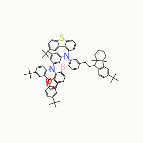 Cc1cc2c3c(c1)N(c1cccc4sc5ccc(C(C)(C)C)cc5c14)c1cc(CCC4c5ccc(C(C)(C)C)cc5C5(C)CCCCC45C)ccc1B3c1ccc3c(oc4ccc(C(C)(C)C)cc43)c1N2c1ccc(C(C)(C)C)cc1-c1ccccc1